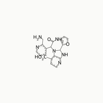 NCc1ncccc1C(C(N)=O)N1c2c(C(=O)O)ccnc2NC1c1ccco1